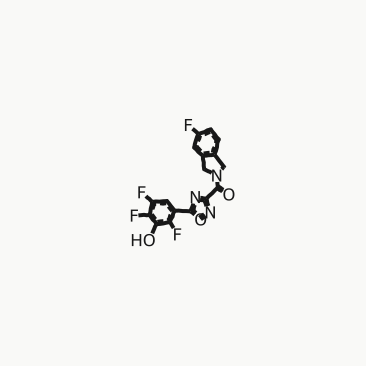 O=C(c1noc(-c2cc(F)c(F)c(O)c2F)n1)N1Cc2ccc(F)cc2C1